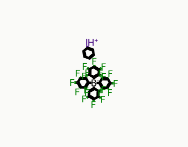 Fc1c(F)c(F)c([B-](c2c(F)c(F)c(F)c(F)c2F)(c2c(F)c(F)c(F)c(F)c2F)c2c(F)c(F)c(F)c(F)c2F)c(F)c1F.[IH+]c1ccccc1